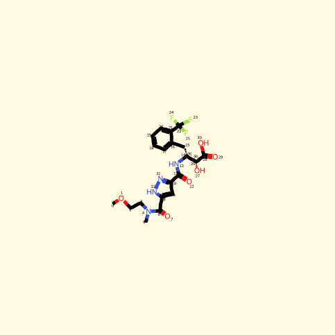 COCCN(C)C(=O)c1cc(C(=O)N[C@H](Cc2ccccc2C(F)(F)F)[C@@H](O)C(=O)O)n[nH]1